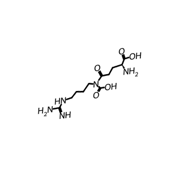 N=C(N)NCCCCN(C(=O)O)C(=O)CC[C@H](N)C(=O)O